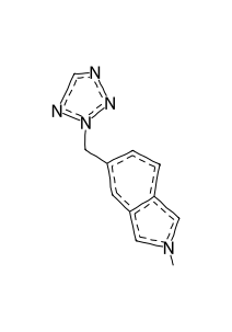 Cn1cc2ccc(Cn3ncnn3)cc2c1